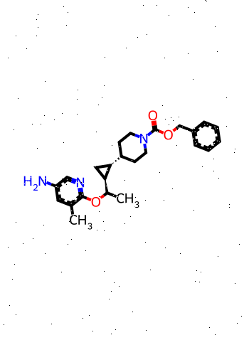 Cc1cc(N)cnc1OC(C)[C@H]1C[C@@H]1C1CCN(C(=O)OCc2ccccc2)CC1